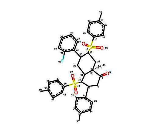 Cc1ccc(C2CC(=O)[C@@H]3CC(S(=O)(=O)c4ccc(C)cc4)C(c4ccccc4F)CC3C2S(=O)(=O)c2ccc(C)cc2)cc1